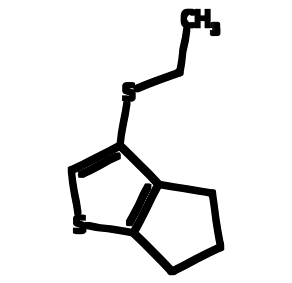 CCSc1csc2c1CCC2